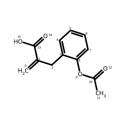 C=C(Cc1ccccc1OC(C)=O)C(=O)O